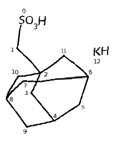 O=S(=O)(O)CC12CC3CC(CC(C3)C1)C2.[KH]